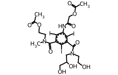 CC(=O)OCCN(C)C(=O)c1c(I)c(NC(=O)COC(C)=O)c(I)c(C(=O)N(CCO)CC(O)CO)c1I